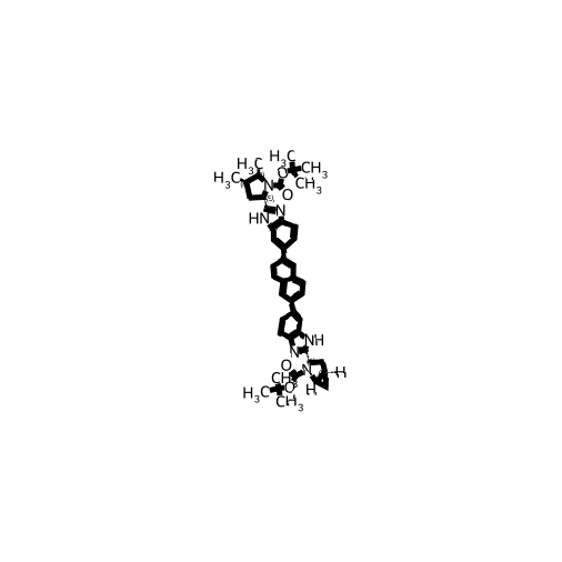 C[C@@H]1C[C@@H](c2nc3ccc(-c4ccc5cc(-c6ccc7nc([C@@H]8C[C@H]9C[C@H]9N8C(=O)OC(C)(C)C)[nH]c7c6)ccc5c4)cc3[nH]2)N(C(=O)OC(C)(C)C)[C@@H]1C